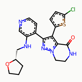 O=C1NCCn2nc(-c3ccncc3NC[C@@H]3CCCO3)c(-c3ccc(Cl)s3)c21